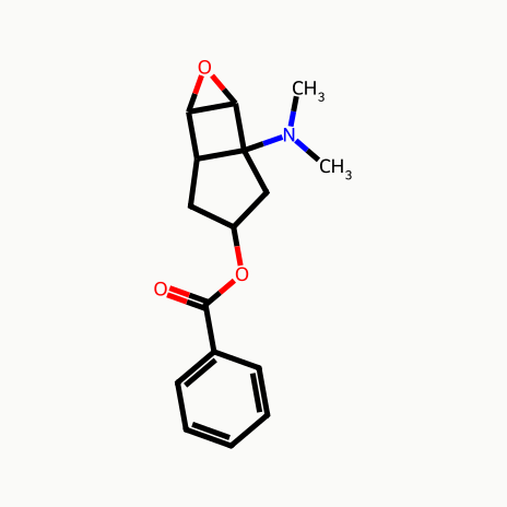 CN(C)C12CC(OC(=O)c3ccccc3)CC1C1OC12